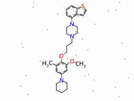 COc1cc(N2CCCCC2)cc(C)c1OCCCN1CCN(c2cccc3sccc23)CC1